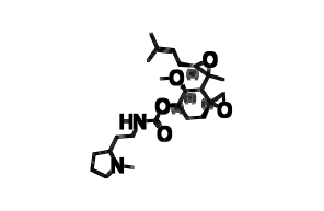 CO[C@H]1C(C2(C)O[C@@H]2CC=C(C)C)[C@]2(CC[C@H]1OC(=O)NCCC1CCCN1C)CO2